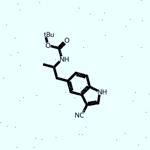 CC(Cc1ccc2[nH]cc(C#N)c2c1)NC(=O)OC(C)(C)C